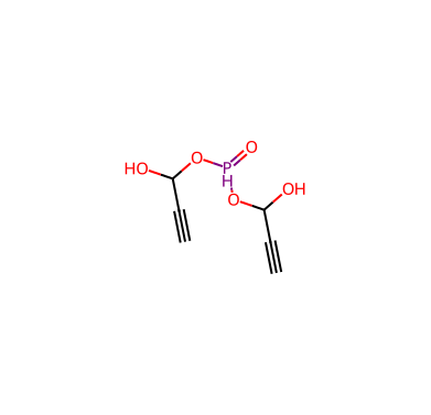 C#CC(O)O[PH](=O)OC(O)C#C